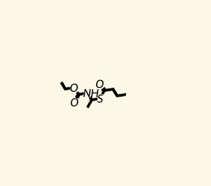 CCCC(=O)SC(C)NC(=O)OCC